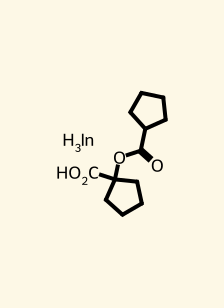 O=C(OC1(C(=O)O)CCCC1)C1CCCC1.[InH3]